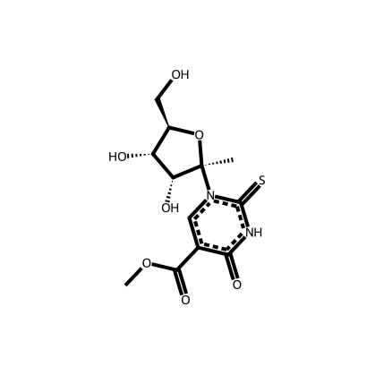 COC(=O)c1cn([C@]2(C)O[C@H](CO)[C@@H](O)[C@H]2O)c(=S)[nH]c1=O